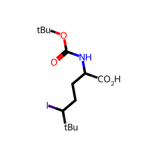 CC(C)(C)OC(=O)NC(CCC(I)C(C)(C)C)C(=O)O